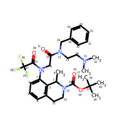 CC1c2c(cccc2N(CC(=O)N(CCN(C)C)Cc2ccccc2)C(=O)C(F)(F)F)CCN1C(=O)OC(C)(C)C